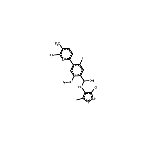 Cc1n[nH]c(Cl)c1NC(O)c1cc(F)c(-c2ccc(C(F)(F)F)c(N)n2)cc1OC(C)C